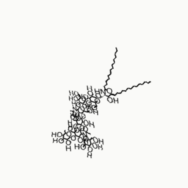 CCCCCCCCCCCCC/C=C/[C@@H](O)[C@H](CO[C@@H]1OC(CO)[C@@H](O[C@@H]2OC(CO)[C@H](O)[C@H](O[C@@H]3OC(CO)[C@@H](O[C@@H]4OC(CO)[C@H](O)[C@H](O[C@@H]5OC(CO)[C@@H](O[C@H]6OC(C)[C@@H](O)C(O)[C@@H]6O)[C@H](O[C@@H]6OC(CO)[C@H](O)[C@H](O)C6O)C5NC(C)=O)C4O)[C@H](O)C3NC(C)=O)C2O)[C@H](O)C1O)NC(=O)CCCCCCCCCCCCCCC